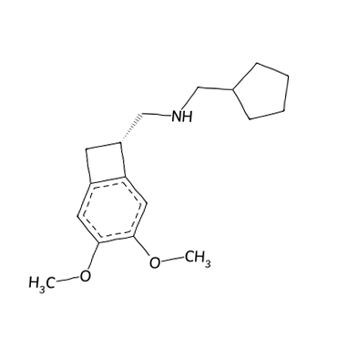 COc1cc2c(cc1OC)[C@@H](CNCC1CCCC1)C2